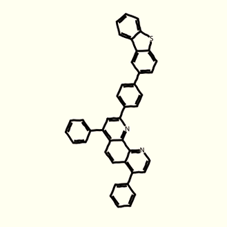 c1ccc(-c2ccnc3c2ccc2c(-c4ccccc4)cc(-c4ccc(-c5ccc6sc7ccccc7c6c5)cc4)nc23)cc1